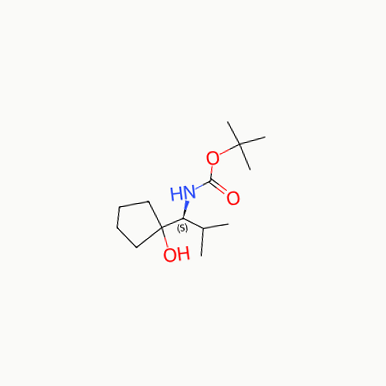 CC(C)[C@H](NC(=O)OC(C)(C)C)C1(O)CCCC1